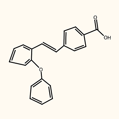 O=C(O)c1ccc(C=Cc2ccccc2Oc2ccccc2)cc1